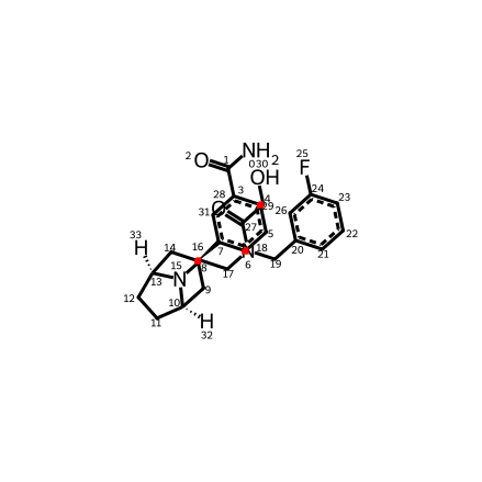 NC(=O)c1cccc([C@H]2C[C@H]3CC[C@@H](C2)N3CCN(Cc2cccc(F)c2)C(=O)CO)c1